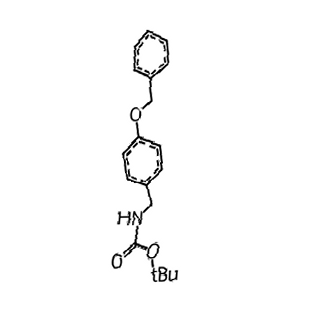 CC(C)(C)OC(=O)NCc1ccc(OCc2ccccc2)cc1